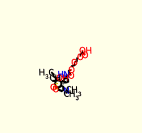 CCCCC1(CC)CS(=O)(=O)c2ccc(N(C)C)cc2C(c2cccc(NC(=O)COCCOCCOCC(=O)O)c2)C1O